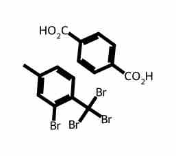 Cc1ccc(C(Br)(Br)Br)c(Br)c1.O=C(O)c1ccc(C(=O)O)cc1